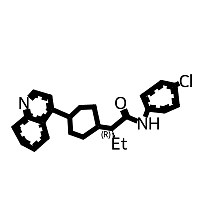 CC[C@@H](C(=O)Nc1ccc(Cl)cc1)C1CCC(c2ccnc3ccccc23)CC1